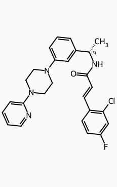 C[C@H](NC(=O)C=Cc1ccc(F)cc1Cl)c1cccc(N2CCN(c3ccccn3)CC2)c1